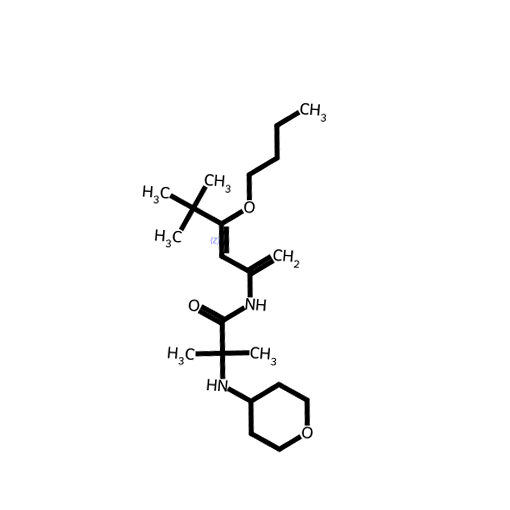 C=C(/C=C(\OCCCC)C(C)(C)C)NC(=O)C(C)(C)NC1CCOCC1